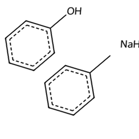 Cc1ccccc1.Oc1ccccc1.[NaH]